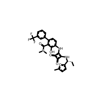 CC[C@@H](Nc1c(Nc2ccc(-c3cccc(C(F)(F)F)c3)c(C(=O)N(C)C)c2O)c(=O)c1=O)c1ccc(C)o1